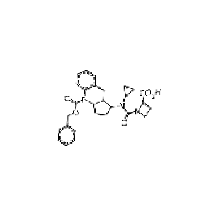 O=C(O)C1CCN1C(=O)N(C1CC1)C1CCC2C1Cc1ccccc1N2C(=O)OCc1ccccc1